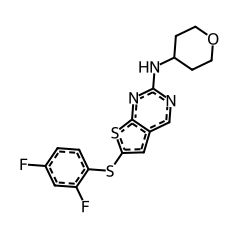 Fc1ccc(Sc2cc3cnc(NC4CCOCC4)nc3s2)c(F)c1